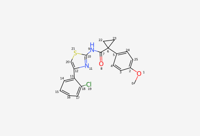 COc1ccc(C2(C(=O)Nc3nc(-c4ccccc4Cl)cs3)CC2)cc1